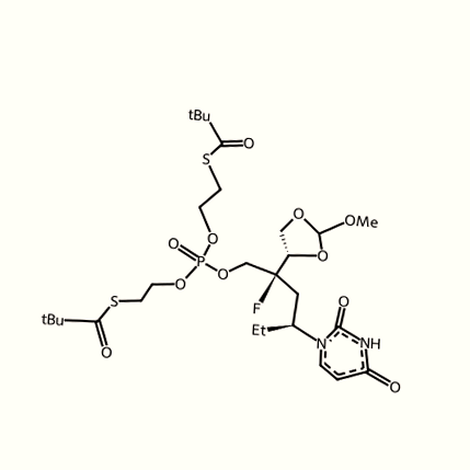 CC[C@@H](C[C@](F)(COP(=O)(OCCSC(=O)C(C)(C)C)OCCSC(=O)C(C)(C)C)[C@@H]1COC(OC)O1)n1ccc(=O)[nH]c1=O